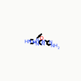 CC#CCn1c(N2CCNCC2)nc2cnn(Cc3ccc(N)nc3)c(=O)c21